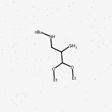 CCCCNCC([SiH3])C(OCC)OCC